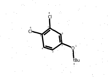 CC(C)(C)Oc1ccc(Cl)c(Cl)c1